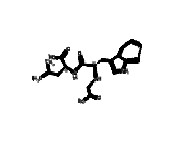 CC(C)C[C@H](NC(=O)[C@H](Cc1c[nH]c2ccccc12)NCC(=O)O)C(=O)O